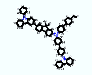 C=Cc1ccc(-c2ccc(N(c3ccc(-c4ccc(-n5c6ccccc6c6ccccc65)cc4)cc3)c3ccc4c(c3)C(C)(C)c3cc(-c5ccc6c(c5)c5ccccc5n6-c5ccccc5)ccc3-4)cc2)cc1